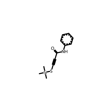 C[Si](C)(C)SC#CC(=O)Nc1ccccc1